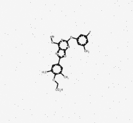 CCCOc1nc(Oc2cc(C)cc(F)c2)nc2oc(-c3cc(C)c(OCC(=O)O)c(C)c3)nc12